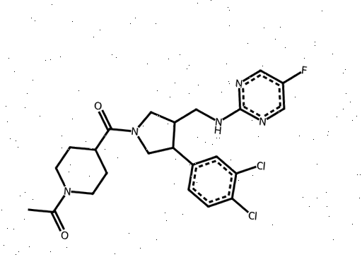 CC(=O)N1CCC(C(=O)N2CC(CNc3ncc(F)cn3)C(c3ccc(Cl)c(Cl)c3)C2)CC1